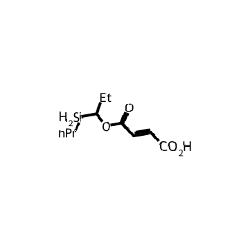 CCC[SiH2]C(CC)OC(=O)C=CC(=O)O